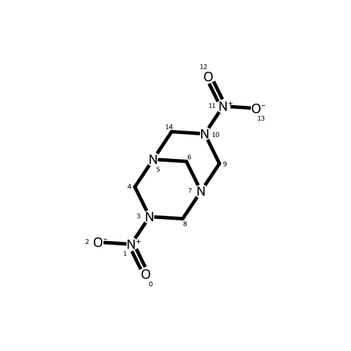 O=[N+]([O-])N1CN2CN(C1)CN([N+](=O)[O-])C2